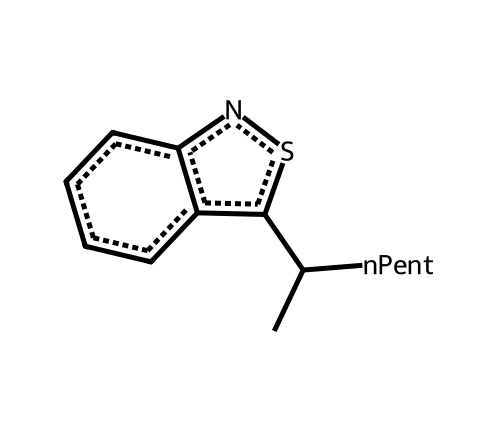 CCCCCC(C)c1snc2ccccc12